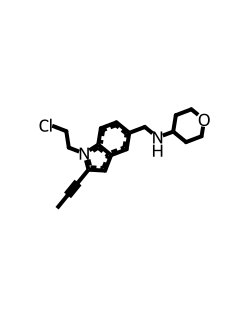 CC#Cc1cc2cc(CNC3CCOCC3)ccc2n1CCCl